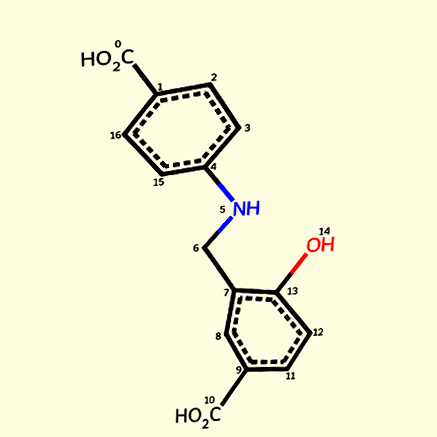 O=C(O)c1ccc(NCc2cc(C(=O)O)ccc2O)cc1